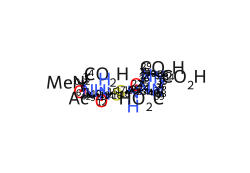 CNC(CCC(=O)O)C(=O)NC(CCC(=O)NCCSSCCNC(=O)CN1CCN(CC(=O)O)CCN(CC(=O)O)CCN(CC(=O)O)CC1)C(C)=O